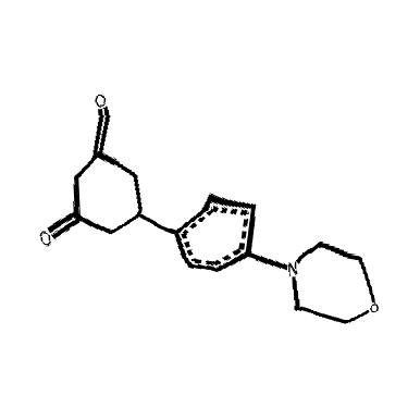 O=C1CC(=O)CC(c2ccc(N3CCOCC3)cc2)C1